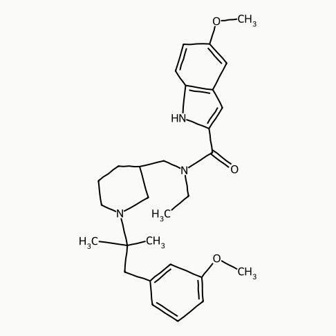 CCN(CC1CCCN(C(C)(C)Cc2cccc(OC)c2)C1)C(=O)c1cc2cc(OC)ccc2[nH]1